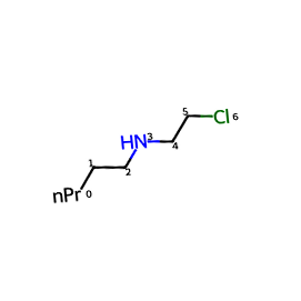 CCCCCNCCCl